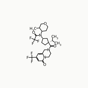 CC1COCCC1N(C(=O)C(F)(F)F)[C@@H]1CC[C@@](C(=O)N2CCn3c(cc(C(F)(F)F)cc3=O)C2)(C(C)C)C1